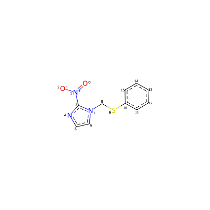 O=[N+]([O-])c1nccn1CSc1ccccc1